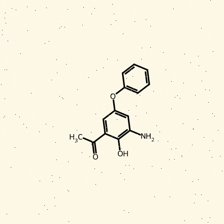 CC(=O)c1cc(Oc2ccccc2)cc(N)c1O